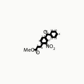 COC(=O)C=Cc1ccc(C(=O)c2ccccc2)cc1[N+](=O)[O-]